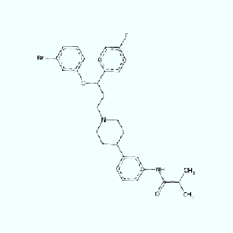 CC(C)C(=O)Nc1cccc(C2CCN(CCC(Oc3cccc(Br)c3)c3ccc(F)cc3)CC2)c1